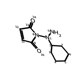 NN(C1CCCCC1)N1C(=O)C=CC1=O